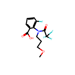 COCCCN(C(=O)C(F)(F)F)c1c(F)cccc1C(=O)O